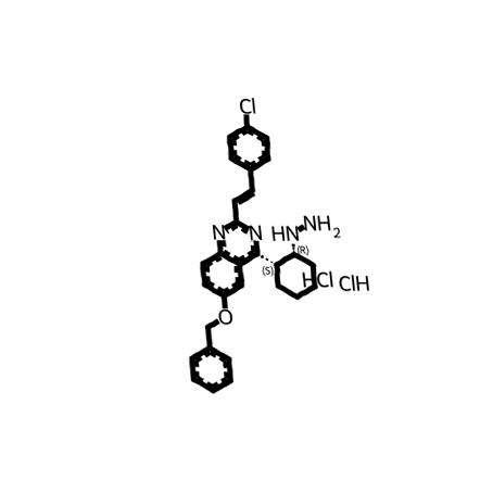 Cl.Cl.NN[C@@H]1CCCC[C@@H]1c1nc(C=Cc2ccc(Cl)cc2)nc2ccc(OCc3ccccc3)cc12